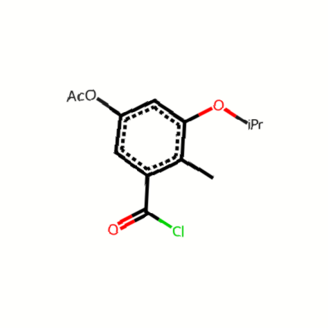 CC(=O)Oc1cc(OC(C)C)c(C)c(C(=O)Cl)c1